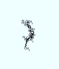 CCCCCCOC(=O)C(C)(C)COS(=O)(=O)ON1C(=O)N2C[C@H]1CC[C@H]2C(=O)NC1CCN(C(=O)OC(C)(C)C)CC1